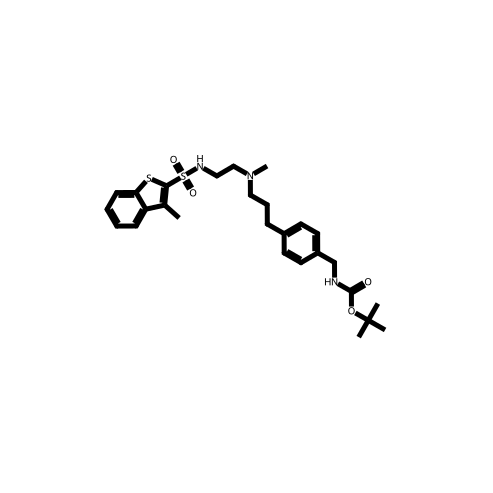 Cc1c(S(=O)(=O)NCCN(C)CCCc2ccc(CNC(=O)OC(C)(C)C)cc2)sc2ccccc12